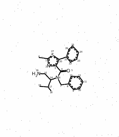 Cc1nc(C(=O)N(Cc2ccccc2)C(CN)C(C)C)c(-c2ccccc2)s1